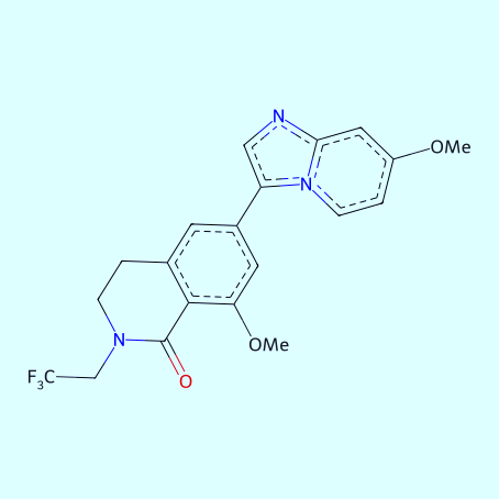 COc1ccn2c(-c3cc4c(c(OC)c3)C(=O)N(CC(F)(F)F)CC4)cnc2c1